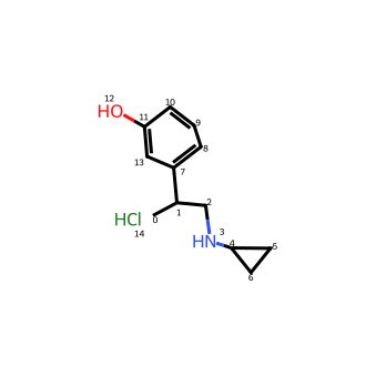 CC(CNC1CC1)c1cccc(O)c1.Cl